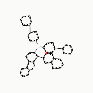 c1ccc(-c2ccc(N(c3ccc(-c4ccccc4)cc3)c3ccc4c(sc5ccccc54)c3-c3ccc4ccccc4c3)cc2)cc1